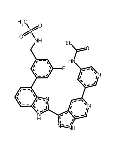 CCC(=O)Nc1cncc(-c2cc3c(-c4nc5c(-c6cc(F)cc(CNS(C)(=O)=O)c6)cccc5[nH]4)n[nH]c3cn2)c1